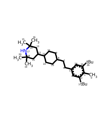 Cc1c(C(C)(C)C)cc(CCC2CCC(C3CC(C)(C)NC(C)(C)C3)CC2)cc1C(C)(C)C